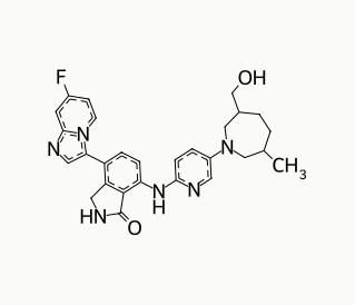 CC1CCC(CO)CN(c2ccc(Nc3ccc(-c4cnc5cc(F)ccn45)c4c3C(=O)NC4)nc2)C1